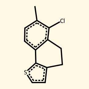 Cc1ccc2c(c1Cl)CCc1ccsc1-2